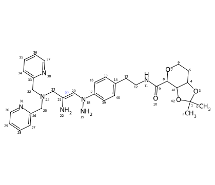 CC1(C)OC2CCOC(C(=O)NCCc3ccc(N(N)/C=C(\N)CN(Cc4ccccn4)Cc4ccccn4)cc3)C2O1